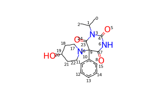 CC(C)N1C(=O)NC(=O)C(c2ccccc2)(N2CCC(O)CC2)C1=O